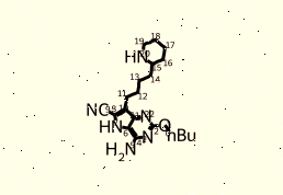 CCCCOc1nc(N)c2[nH]c(C#N)c(CCCCC3CCCCN3)c2n1